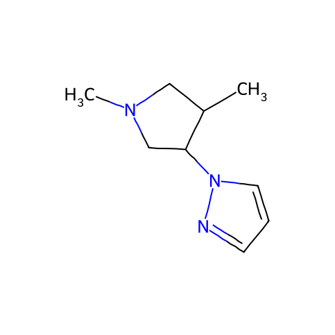 CC1CN(C)CC1n1cccn1